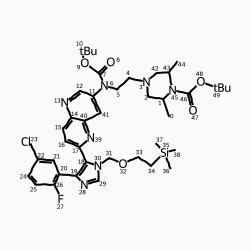 CC1CN(CCN(C(=O)OC(C)(C)C)c2cnc3ccc(-c4c(-c5cc(Cl)ccc5F)ncn4COCC[Si](C)(C)C)nc3c2)CC(C)N1C(=O)OC(C)(C)C